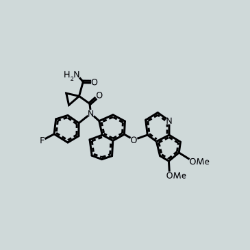 COc1cc2nccc(Oc3ccc(N(C(=O)C4(C(N)=O)CC4)c4ccc(F)cc4)c4ccccc34)c2cc1OC